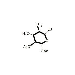 CC[C@@H]1O[C@H](OC(C)=O)[C@@H](OC(C)=O)[C@H](C)[C@H]1C